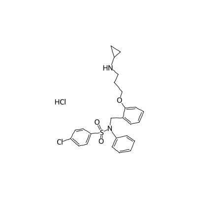 Cl.O=S(=O)(c1ccc(Cl)cc1)N(Cc1ccccc1OCCCNC1CC1)c1ccccc1